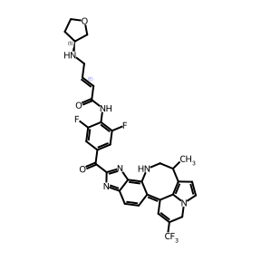 CC1CNc2c3c(ccc2=C2C=C(C(F)(F)F)Cn4ccc1c42)=NC(C(=O)c1cc(F)c(NC(=O)/C=C/CN[C@H]2CCOC2)c(F)c1)=N3